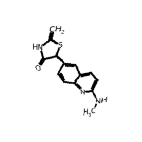 C=C1NC(=O)C(c2ccc3nc(NC)ccc3c2)S1